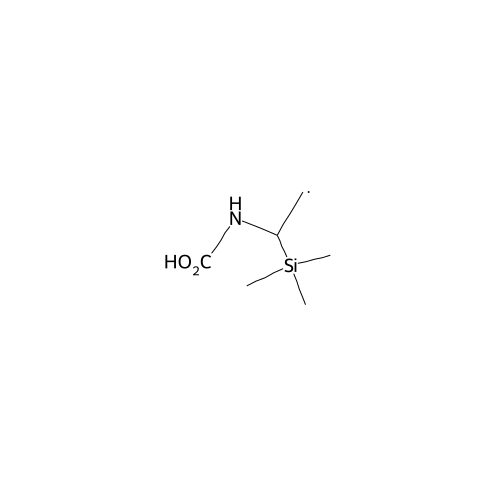 [CH2]C(NC(=O)O)[Si](C)(C)C